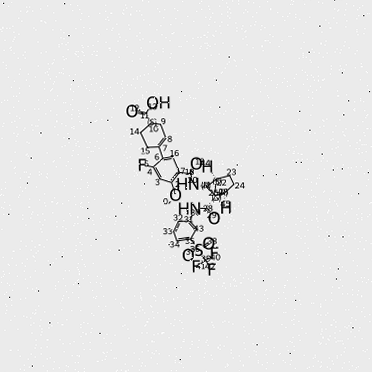 COc1cc(F)c(C2=CC[C@@H](C(=O)O)CC2)cc1C(=O)N[C@@H]1[C@H]2CC[C@H](C2)[C@@H]1C(=O)Nc1cccc(S(=O)(=O)C(F)(F)F)c1